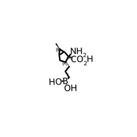 C[C@@H]1C2C[C@@H](CCCB(O)O)[C@](N)(C(=O)O)C21